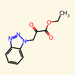 CCOC(=O)C(=O)Cn1nnc2ccccc21